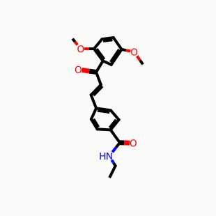 CCNC(=O)c1ccc(/C=C/C(=O)c2cc(OC)ccc2OC)cc1